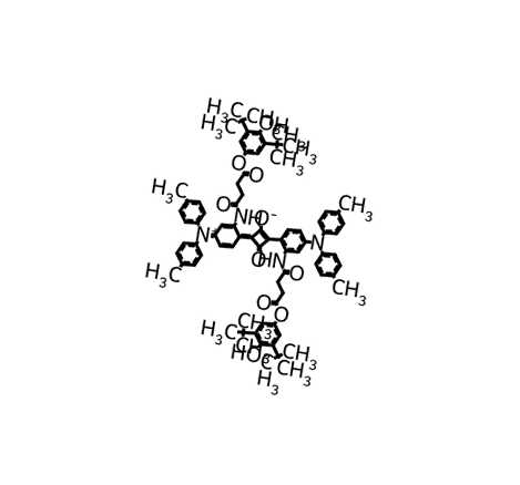 Cc1ccc(N(c2ccc(C)cc2)c2ccc(C3=C([O-])/C(=C4/C=CC(=[N+](c5ccc(C)cc5)c5ccc(C)cc5)C=C4NC(=O)CCC(=O)Oc4cc(C(C)(C)C)c(O)c(C(C)(C)C)c4)C3=O)c(NC(=O)CCC(=O)Oc3cc(C(C)(C)C)c(O)c(C(C)(C)C)c3)c2)cc1